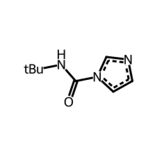 CC(C)(C)NC(=O)n1ccnc1